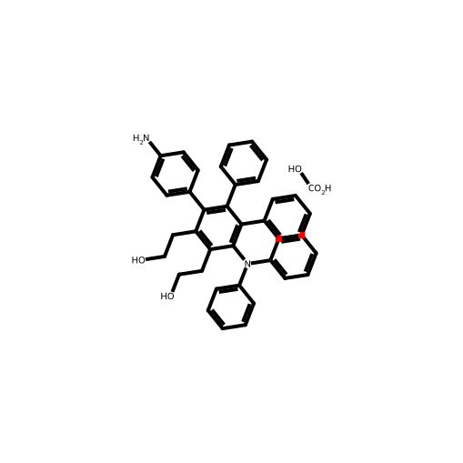 Nc1ccc(-c2c(CCO)c(CCO)c(N(c3ccccc3)c3ccccc3)c(-c3ccccc3)c2-c2ccccc2)cc1.O=C(O)O